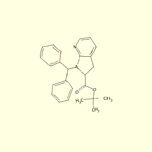 CC(C)(C)OC(=O)C1Cc2cccnc2N1C(c1ccccc1)c1ccccc1